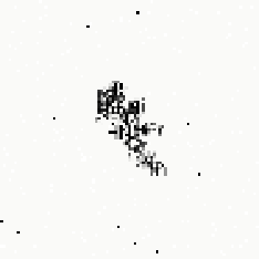 Cc1cc(Nc2ncc(Cl)c(Nc3cn(C)nc3S(=O)(=O)C(C)C)n2)c(OC(C)C)cc1C1CN(C(C)C)C1